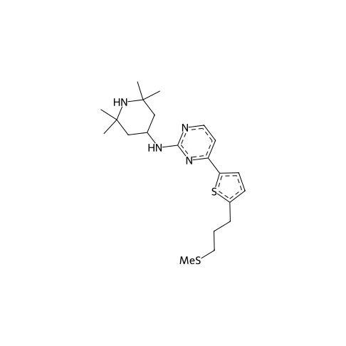 CSCCCc1ccc(-c2ccnc(NC3CC(C)(C)NC(C)(C)C3)n2)s1